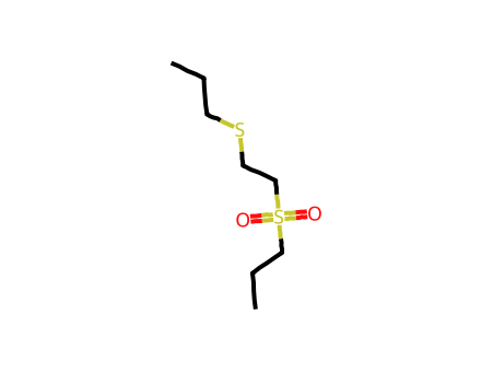 CCCSCCS(=O)(=O)CCC